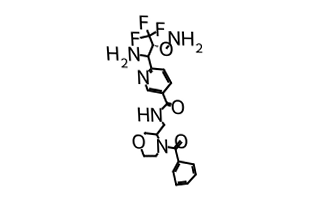 NO[C@H](C(N)c1ccc(C(=O)NCC2COCCN2C(=O)c2ccccc2)cn1)C(F)(F)F